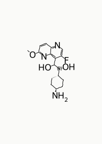 COc1ccc2ncc(F)c(C(O)[C@H](O)[C@H]3CC[C@H](N)CC3)c2n1